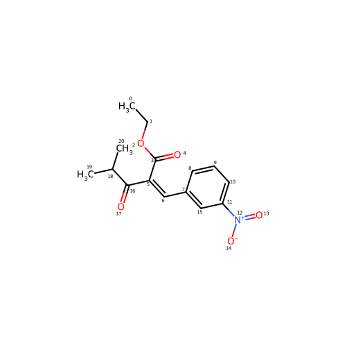 CCOC(=O)C(=Cc1cccc([N+](=O)[O-])c1)C(=O)C(C)C